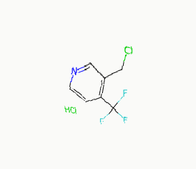 Cl.FC(F)(F)c1ccncc1CCl